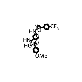 COc1ccc(COc2cnc(Nc3ncc(-c4ccc(C(F)(F)F)cc4)o3)cc2C(=N)NO)cc1